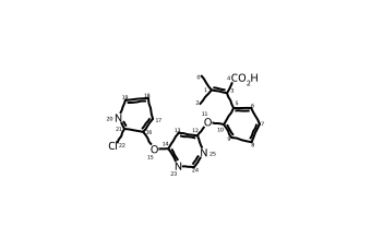 CC(C)=C(C(=O)O)c1ccccc1Oc1cc(Oc2cccnc2Cl)ncn1